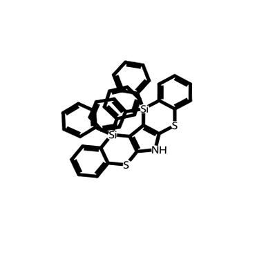 c1ccc([Si]2(c3ccccc3)c3ccccc3Sc3[nH]c4c(c32)[Si](c2ccccc2)(c2ccccc2)c2ccccc2S4)cc1